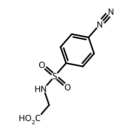 N#[N+]c1ccc(S(=O)(=O)NCC(=O)O)cc1